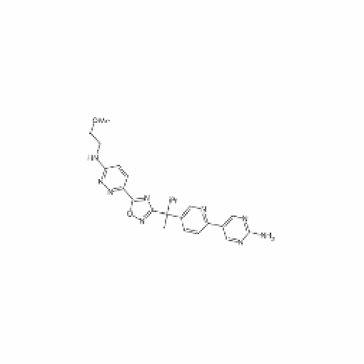 COCCNc1ccc(-c2nc(C(C)(c3ccc(-c4cnc(N)nc4)nc3)C(C)C)no2)nn1